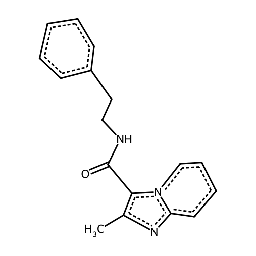 Cc1nc2ccccn2c1C(=O)NCCc1ccccc1